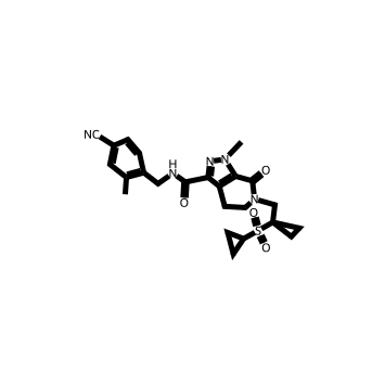 Cc1cc(C#N)ccc1CNC(=O)c1nn(C)c2c1CCN(CC1(S(=O)(=O)C3CC3)CC1)C2=O